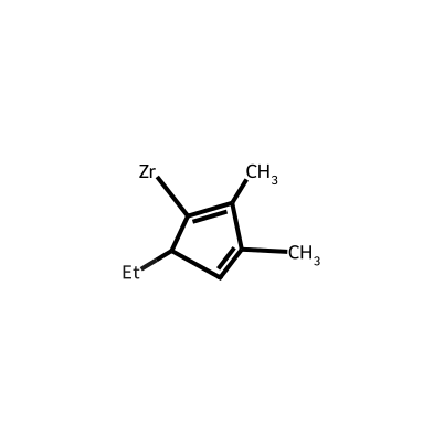 CCC1C=C(C)C(C)=[C]1[Zr]